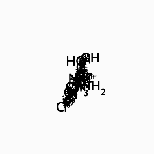 [C-]#[N+]c1c(N)nc(SCc2nc(-c3ccc(Cl)cc3)oc2C)c(C#N)c1-c1ccc(OC[C@@H](O)CO)cc1